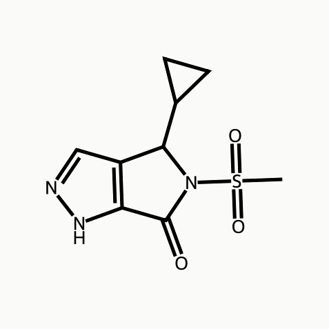 CS(=O)(=O)N1C(=O)c2[nH]ncc2C1C1CC1